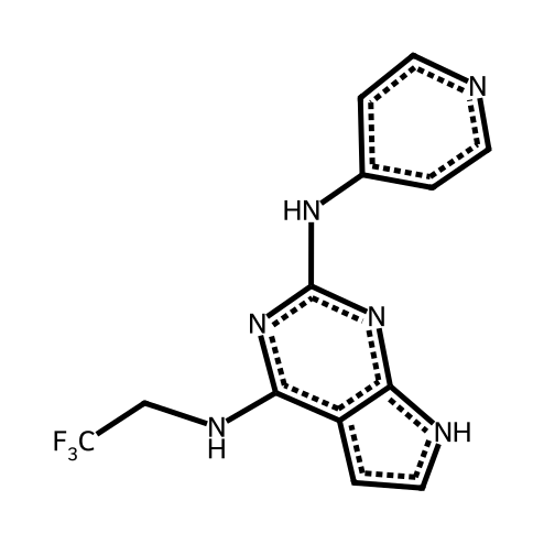 FC(F)(F)CNc1nc(Nc2ccncc2)nc2[nH]ccc12